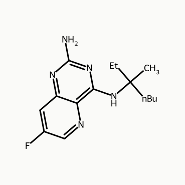 CCCCC(C)(CC)Nc1nc(N)nc2cc(F)cnc12